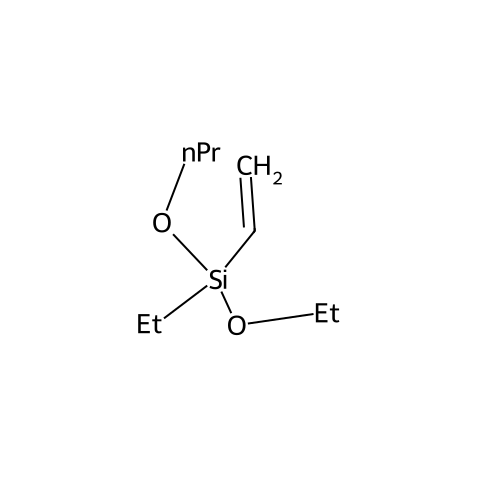 C=C[Si](CC)(OCC)OCCC